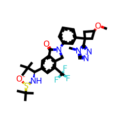 COC1CC(c2cccc(N3Cc4c(cc([C@@H](N[S+]([O-])C(C)(C)C)C(C)(C)C)cc4C(F)(F)F)C3=O)c2)(c2nncn2C)C1